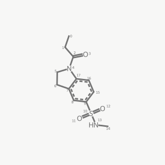 CCC(=O)N1CCc2cc(S(=O)(=O)NC)ccc21